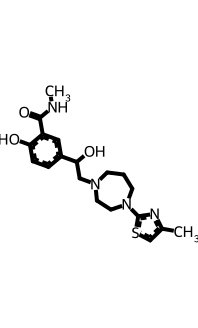 CNC(=O)c1cc(C(O)CN2CCCN(c3nc(C)cs3)CC2)ccc1O